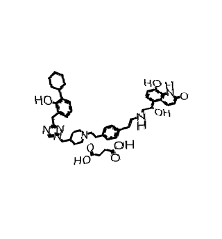 O=C(O)CCC(=O)O.O=c1ccc2c([C@@H](O)CNCCc3ccc(CCN4CCC(Cn5cnc(Cc6cccc(C7CCCCC7)c6O)n5)CC4)cc3)ccc(O)c2[nH]1